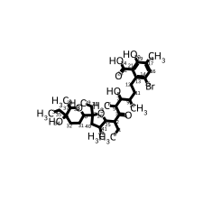 CCC(C(=O)C(C)C(O)C(C)CCc1c(Br)cc(C)c(O)c1C(=O)O)C1OC(CC)(C2CCC(O)(CC)C(C)O2)CC1C